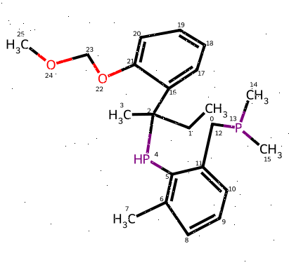 CCC(C)(Pc1c(C)cccc1CP(C)C)c1ccccc1OCOC